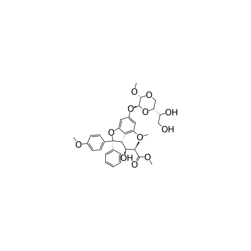 COC(=O)[C@H](C)[C@@H](O)[C@H]1c2c(OC)cc(O[C@@H]3O[C@@H](C(O)CO)CO[C@H]3OC)cc2O[C@]1(c1ccccc1)c1ccc(OC)cc1